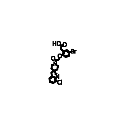 N#CC1(Cc2cccc(Cl)c2)CCN(C(=O)COc2ccc(Br)cc2CC(=O)O)CC1